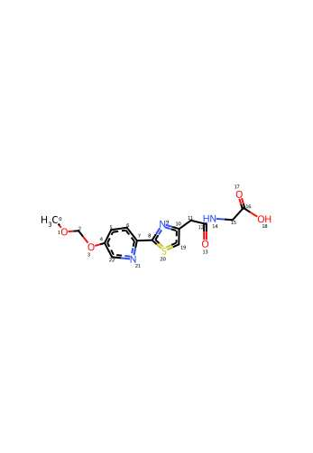 COCOc1ccc(-c2nc(CC(=O)NCC(=O)O)cs2)nc1